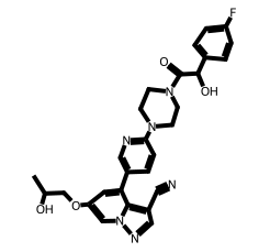 CC(O)COc1cc(-c2ccc(N3CCN(C(=O)C(O)c4ccc(F)cc4)CC3)nc2)c2c(C#N)cnn2c1